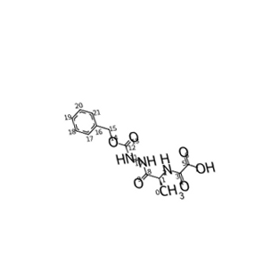 C[C@H](NC(=O)C(=O)O)C(=O)NNC(=O)OCc1ccccc1